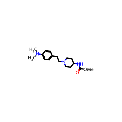 COC(=O)NC1CCN(CCc2ccc(N(C)C)cc2)CC1